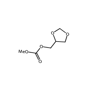 [CH2]OC(=O)OCC1COCO1